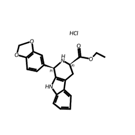 CCOC(=O)[C@H]1Cc2c([nH]c3ccccc23)[C@@H](c2ccc3c(c2)OCO3)N1.Cl